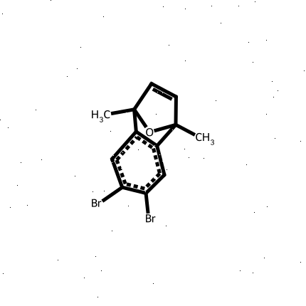 CC12C=CC(C)(O1)c1cc(Br)c(Br)cc12